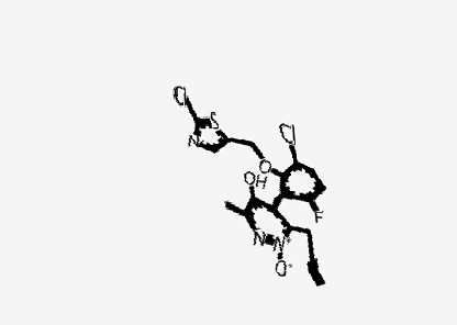 C#CCc1c(-c2c(F)ccc(Cl)c2OCc2cnc(Cl)s2)c(O)c(C)n[n+]1[O-]